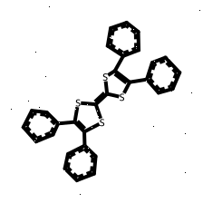 c1ccc(C2=C(c3ccccc3)SC(=C3SC(c4ccccc4)=C(c4ccccc4)S3)S2)cc1